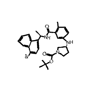 Cc1ccc(N[C@@H]2CCN(C(=O)OC(C)(C)C)C2)cc1C(=O)NC(C)c1ccc(Br)c2ccccc12